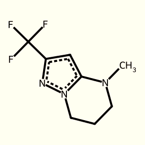 CN1CCCn2nc(C(F)(F)F)cc21